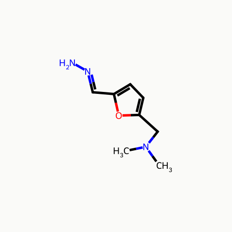 CN(C)Cc1ccc(C=NN)o1